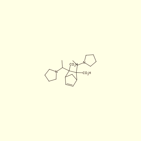 CC(N1CCCC1)C1(C(=O)O)C2C=CC(C2)C1(C(=O)O)C(C)N1CCCC1